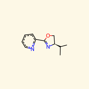 CC(C)[C@@H]1COC(c2ccccn2)=N1